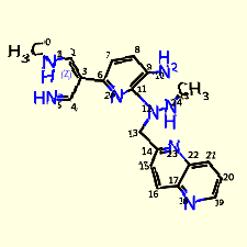 CN/C=C(\C=N)c1ccc(N)c(N(Cc2ccc3ncccc3n2)NC)n1